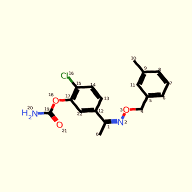 CC(=NOCc1cccc(C)c1)c1ccc(Cl)c(OC(N)=O)c1